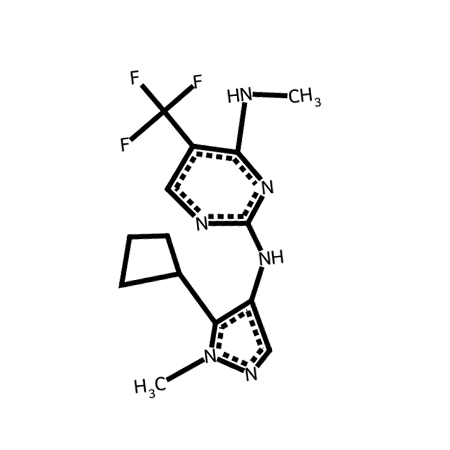 CNc1nc(Nc2cnn(C)c2C2CCC2)ncc1C(F)(F)F